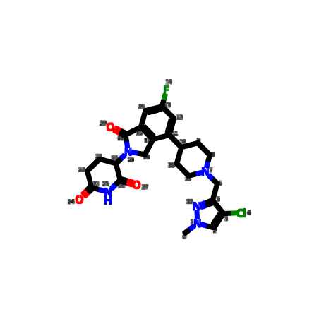 Cn1cc(Cl)c(CN2CCC(c3cc(F)cc4c3CN(C3CCC(=O)NC3=O)C4=O)CC2)n1